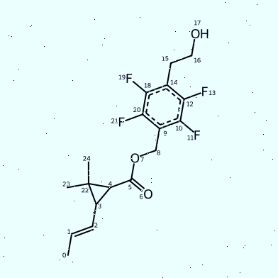 CC=CC1C(C(=O)OCc2c(F)c(F)c(CCO)c(F)c2F)C1(C)C